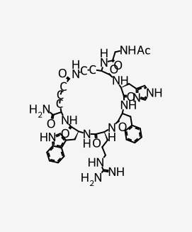 CC(=O)NCC(=O)NC1CCNC(=O)CCCC(C(N)=O)NC(=O)[C@H](Cc2c[nH]c3ccccc23)NC(=O)[C@H](CCCNC(=N)N)NC(=O)C(Cc2ccccc2)NC(=O)[C@H](Cc2c[nH]cn2)NC1=O